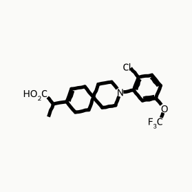 CC(C(=O)O)C1=CCC2(CC1)CCN(c1cc(OC(F)(F)F)ccc1Cl)CC2